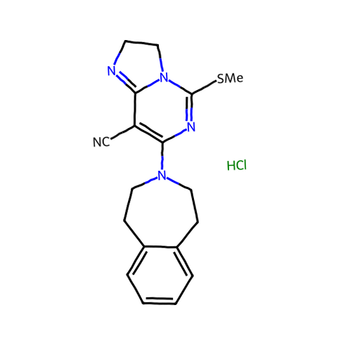 CSC1=NC(N2CCc3ccccc3CC2)=C(C#N)C2=NCCN12.Cl